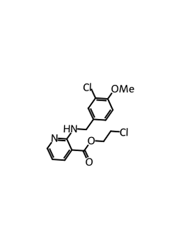 COc1ccc(CNc2ncccc2C(=O)OCCCl)cc1Cl